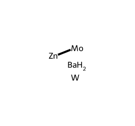 [BaH2].[W].[Zn][Mo]